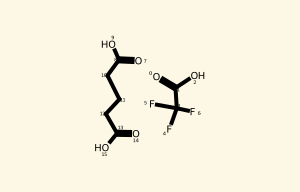 O=C(O)C(F)(F)F.O=C(O)CCCC(=O)O